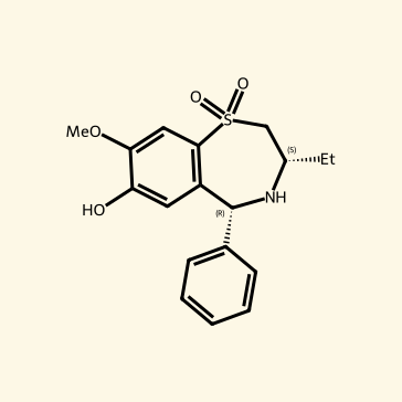 CC[C@H]1CS(=O)(=O)c2cc(OC)c(O)cc2[C@@H](c2ccccc2)N1